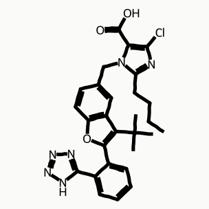 CCCCc1nc(Cl)c(C(=O)O)n1Cc1ccc2oc(-c3ccccc3-c3nnn[nH]3)c(C(C)(C)C)c2c1